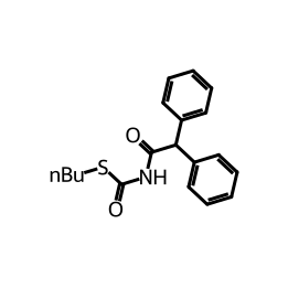 CCCCSC(=O)NC(=O)C(c1ccccc1)c1ccccc1